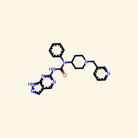 O=C(Nc1ncc2cn[nH]c2n1)N(c1ccccc1)C1CCN(Cc2cccnc2)CC1